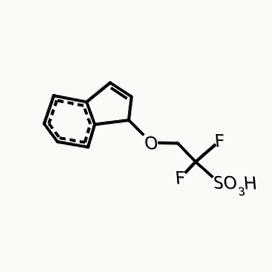 O=S(=O)(O)C(F)(F)COC1C=Cc2ccccc21